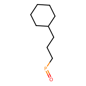 O=PCCCC1CCCCC1